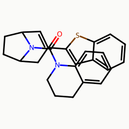 O=C(N1CCCc2ccccc21)N1C2C=C(c3cc4ccccc4s3)CC1CC2